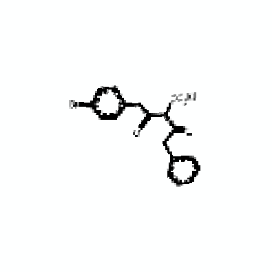 CCOC(=O)C(C(=O)Cc1ccccc1)C(=O)Cc1ccc(Br)cc1